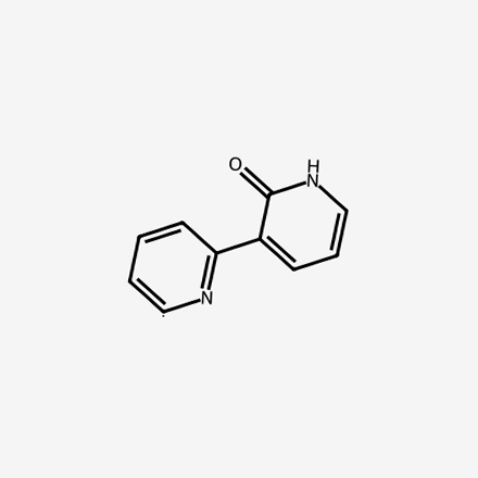 O=c1[nH]cccc1-c1ccc[c]n1